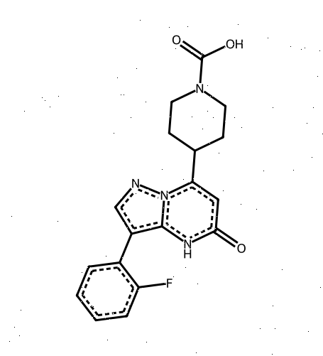 O=C(O)N1CCC(c2cc(=O)[nH]c3c(-c4ccccc4F)cnn23)CC1